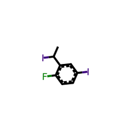 CC(I)c1cc(I)ccc1F